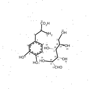 NC(Cc1ccc(O)c(O)c1)C(=O)O.O=C[C@H](O)[C@@H](O)[C@H](O)[C@H](O)CO